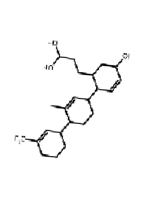 CC1=CC(C2C=CC(O)CC2CCC(O)O)CCC1C1C=C(C(F)(F)F)CCC1